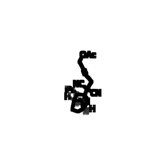 CC(=O)OCC#CCC(C#N)(C#N)C1=C[C@H]2CC[C@H](N2)[C@@H]1C(C)C